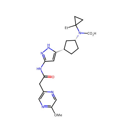 CCC1(N(C(=O)O)[C@@H]2CC[C@H](c3cc(NC(=O)Cc4cnc(OC)cn4)n[nH]3)C2)CC1